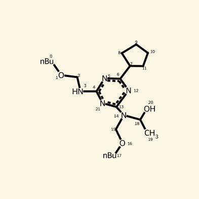 CCCCOCNc1nc(C2CCCC2)nc(N(COCCCC)C(C)O)n1